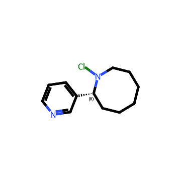 ClN1CCCCCC[C@@H]1c1cccnc1